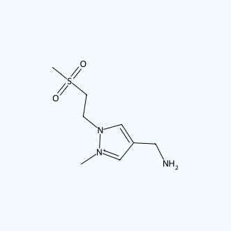 C[n+]1cc(CN)cn1CCS(C)(=O)=O